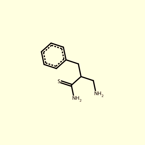 NCC(Cc1ccccc1)C(N)=S